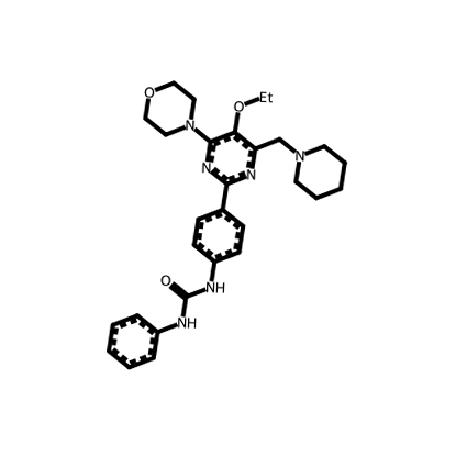 CCOc1c(CN2CCCCC2)nc(-c2ccc(NC(=O)Nc3ccccc3)cc2)nc1N1CCOCC1